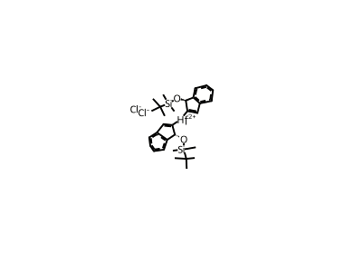 CC(C)(C)[Si](C)(C)O[C@@H]1[C]([Hf+2][C]2=Cc3ccccc3[C@H]2O[Si](C)(C)C(C)(C)C)=Cc2ccccc21.[Cl-].[Cl-]